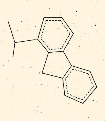 CC(C)c1cccc2c1[C]c1ccccc1-2